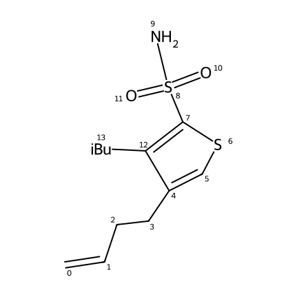 C=CCCc1csc(S(N)(=O)=O)c1C(C)CC